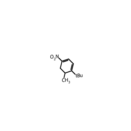 CC1CC([N+](=O)[O-])=CC=C1C(C)(C)C